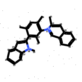 Cc1cc(C)c(-[n+]2cc3ccccc3cc2C)c(C)c1-c1cc2ccccc2n1C